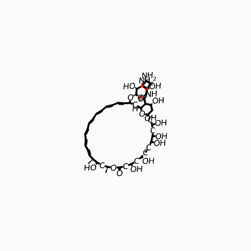 C[C@H]1CC(O)[C@@H](C)/C=C/C=C/C=C/C=C/C=C/C=C/C=C/C(O[C@@H]2OCC(O)[C@H](N)[C@@H]2O)C[C@@H]2OC(O)(CC(O)CC(O)C(O)CCC(O)CC(O)CC(=O)O1)C[C@H](O)C2C(=O)N[C@H]1C[C@H](N)C1